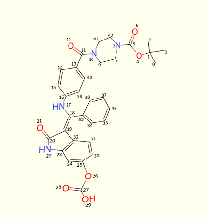 CC(C)(C)OC(=O)N1CCN(C(=O)c2ccc(N/C(=C3\C(=O)Nc4cc(OC(=O)O)ccc43)c3ccccc3)cc2)CC1